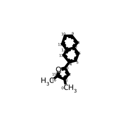 Cc1cc(-c2ccc3ccccc3c2)oc1C